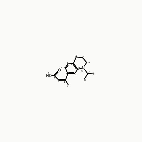 C/C(=C/C(=O)O)c1ccc2c(c1)N(C(C)C)CCC2